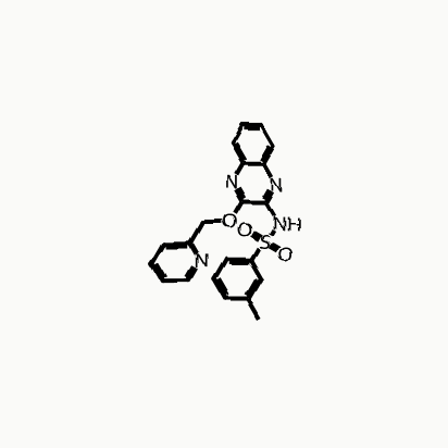 Cc1cccc(S(=O)(=O)Nc2nc3ccccc3nc2OCc2ccccn2)c1